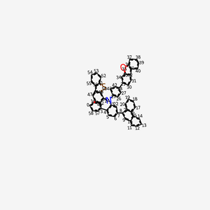 c1ccc(-c2ccc(-c3cc4ccccc4c4ccccc34)cc2N(c2ccc(-c3ccc4c(c3)oc3ccccc34)cc2)c2cccc3c2sc2ccccc23)cc1